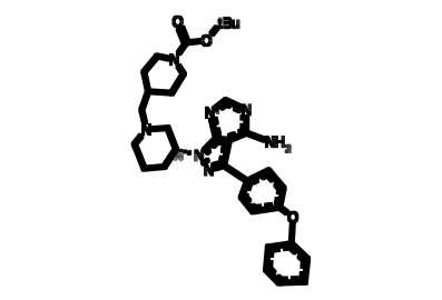 CC(C)(C)OC(=O)N1CCC(CN2CCC[C@@H](n3nc(-c4ccc(Oc5ccccc5)cc4)c4c(N)ncnc43)C2)CC1